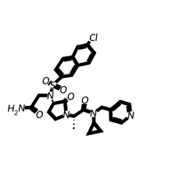 C[C@@H](C(=O)N(Cc1ccncc1)C1CC1)N1CC[C@H](N(CC(N)=O)S(=O)(=O)c2ccc3cc(Cl)ccc3c2)C1=O